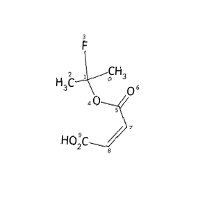 CC(C)(F)OC(=O)/C=C\C(=O)O